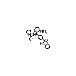 C=CC(=O)N1CCCCC1c1nc(-c2ccc(C(=O)Nc3ccccn3)cc2)c2c(N)nccn12